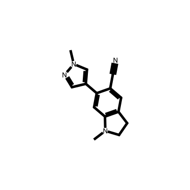 CN1CCc2cc(C#N)c(-c3cnn(C)c3)cc21